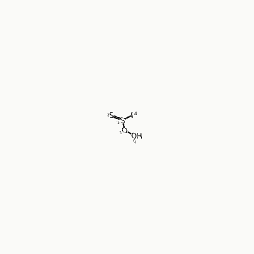 OOS(=S)I